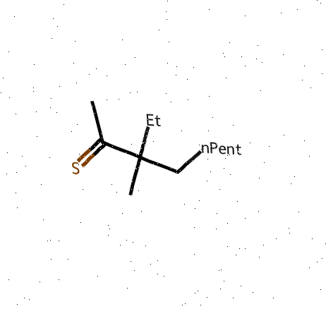 CCCCCCC(C)(CC)C(C)=S